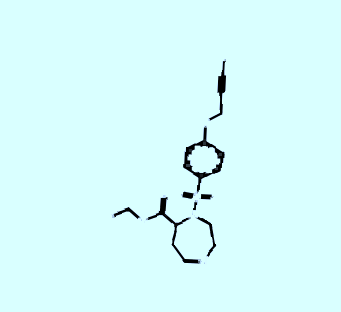 CC#CCOc1ccc(S(=O)(=O)N2CCNCCC2C(=O)NCO)cc1